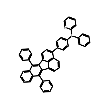 c1ccc(-c2c3c(c(-c4ccccc4)c4ccccc24)-c2ccc(-c4ccc(N(c5ccccc5)c5ccccn5)cc4)c4cccc-3c24)cc1